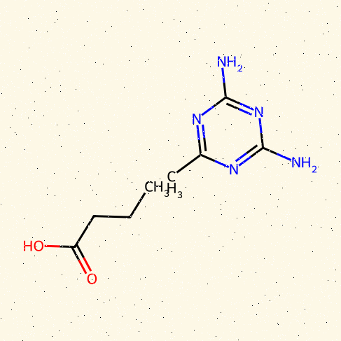 CCCC(=O)O.Cc1nc(N)nc(N)n1